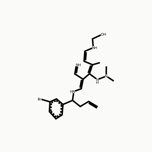 C=CCC(N/C=C(C=N)/C(NN(C)C)=C(C)\C=C/NCO)c1cccc(Br)c1